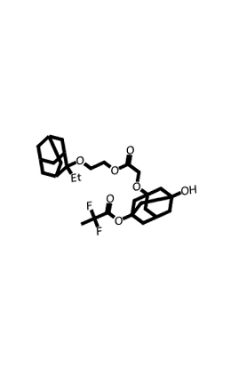 CCC1(OCCOC(=O)COC23CC4CC(O)(C2)CC(OC(=O)C(C)(F)F)(C4)C3)C2CC3CC(C2)CC1C3